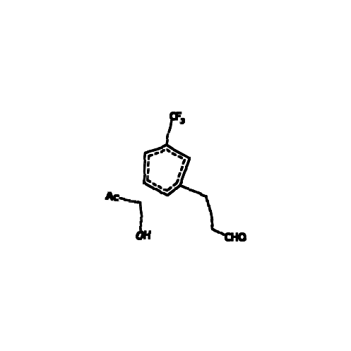 CC(=O)CO.O=CCCc1cccc(C(F)(F)F)c1